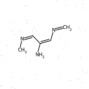 C=N/C=C(N)\C=N/C